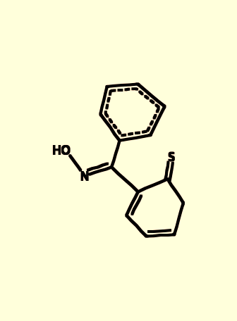 ON=C(C1=CC=CCC1=S)c1ccccc1